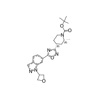 C[C@@H]1C[C@H](c2noc(-c3ccc4cnn(C5COC5)c4c3)n2)CCN1C(=O)OC(C)(C)C